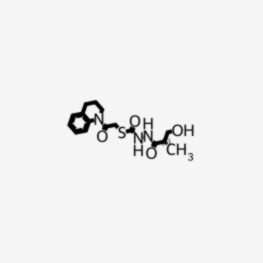 C[C@@H](CO)C(=O)NNC(=O)SCC(=O)N1CCCc2ccccc21